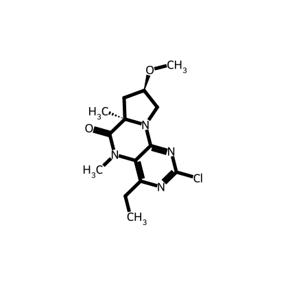 CCc1nc(Cl)nc2c1N(C)C(=O)[C@@]1(C)C[C@@H](OC)CN21